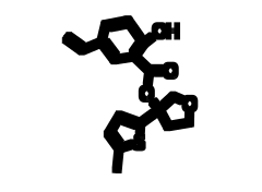 C=Cc1ccc(O)c(C(=O)OC2(c3ccc(C)s3)CCOC2)c1